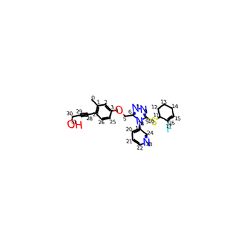 Cc1cc(OCc2nnc(SC3CCCC=C3F)n2-c2cccnc2)ccc1C#CCO